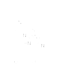 CCCCn1ccc(-c2ccc(OC)cc2OC(C)C)c(NC(=O)Nc2c(SC)cc(C)nc2SC)c1=O